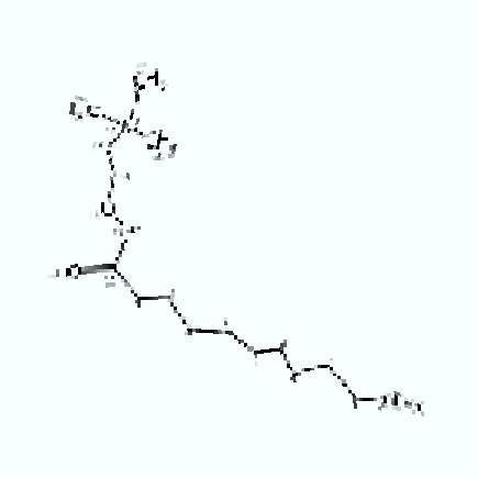 CCCCCCCCCCCCCCCCCCCC(=O)[P-]OCC[N+](C)(C)C